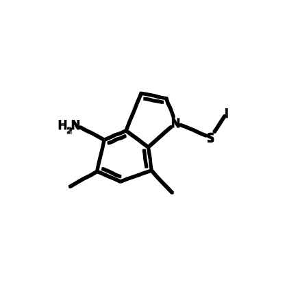 Cc1cc(C)c2c(ccn2SI)c1N